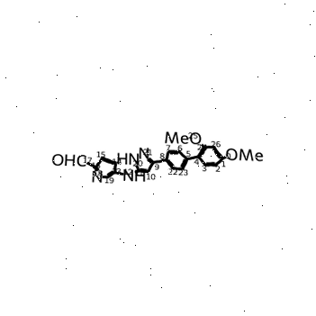 COc1ccc(-c2ccc(-c3cc(Nc4ccc(C=O)nc4)[nH]n3)cc2)c(OC)c1